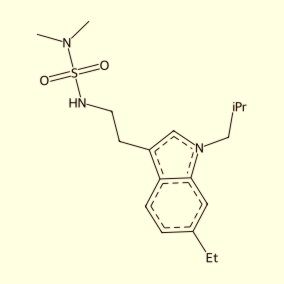 CCc1ccc2c(CCNS(=O)(=O)N(C)C)cn(CC(C)C)c2c1